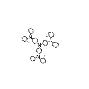 Cc1ccccc1C(c1ccccc1)c1ccc(N(C2=CC=C(N(c3ccccc3)c3ccccc3C)CC2)c2ccc(N(c3ccccc3)c3ccccc3C)cc2)cc1